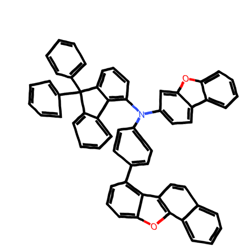 c1ccc(C2(c3ccccc3)c3ccccc3-c3c(N(c4ccc(-c5cccc6oc7c8ccccc8ccc7c56)cc4)c4ccc5c(c4)oc4ccccc45)cccc32)cc1